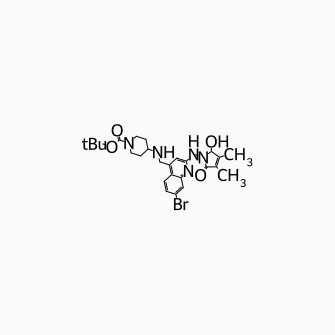 CC1=C(C)C(O)N(Nc2cc(CNC3CCN(C(=O)OC(C)(C)C)CC3)c3ccc(Br)cc3n2)C1=O